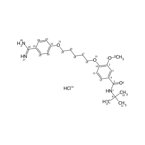 COc1cc(C(=O)NC(C)(C)C)ccc1OCCCCCOc1ccc(C(=N)N)cc1.Cl